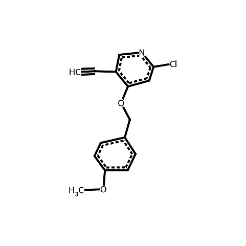 C#Cc1cnc(Cl)cc1OCc1ccc(OC)cc1